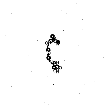 O=C(CCc1ccc(OCc2ccc(CNCC(O)c3ccc(O)c4[nH]c(=O)ccc34)cc2)cc1)N1CCC(C(=O)O[C@H]2CN3CCC2CC3)(c2ccccc2)CC1